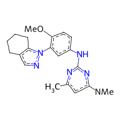 CNc1cc(C)nc(Nc2ccc(OC)c(-n3ncc4c3CCCC4)c2)n1